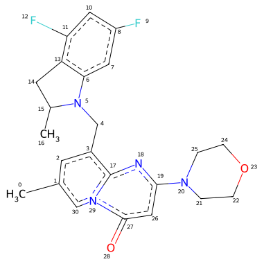 Cc1cc(CN2c3cc(F)cc(F)c3CC2C)c2nc(N3CCOCC3)cc(=O)n2c1